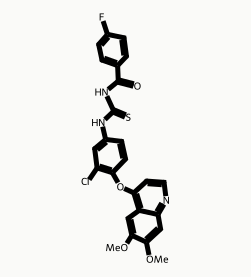 COc1cc2nccc(Oc3ccc(NC(=S)NC(=O)c4ccc(F)cc4)cc3Cl)c2cc1OC